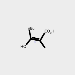 CCCC/C(O)=C(/C)C(=O)O